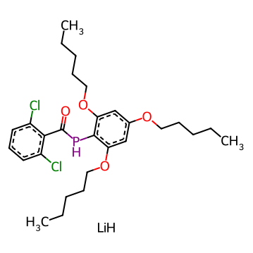 CCCCCOc1cc(OCCCCC)c(PC(=O)c2c(Cl)cccc2Cl)c(OCCCCC)c1.[LiH]